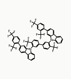 FC(F)(F)c1ccc(-c2ccc3c4ccccc4n(-c4cc(-c5ccc(C(F)(F)F)c(-n6c7ccccc7c7ccc(-c8ccc(C(F)(F)F)cc8C(F)(F)F)cc76)c5)ccc4C(F)(F)F)c3c2)c(C(F)(F)F)c1